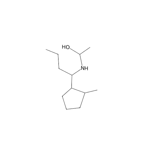 CCCC(NC(C)O)C1CCCC1C